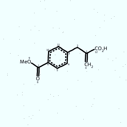 C=C(Cc1ccc(C(=O)OC)cc1)C(=O)O